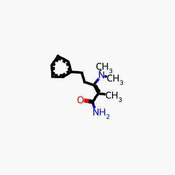 CC(C(N)=O)=C(CCc1ccccc1)N(C)C